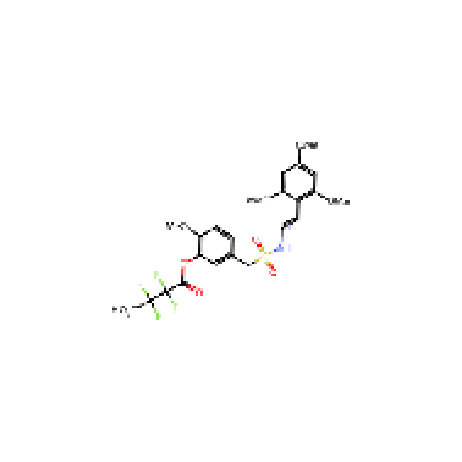 COc1cc(OC)c(/C=C/NS(=O)(=O)Cc2ccc(OC)c(OC(=O)C(F)(F)C(F)(F)C(=O)O)c2)c(OC)c1